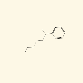 CC(CSCCC(=O)O)c1ccccc1